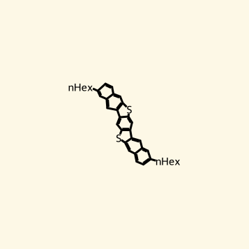 CCCCCCc1ccc2cc3sc4cc5c(cc4c3cc2c1)sc1cc2ccc(CCCCCC)cc2cc15